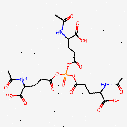 CC(=O)NC(CCC(=O)OP(=O)(OC(=O)CCC(NC(C)=O)C(=O)O)OC(=O)CCC(NC(C)=O)C(=O)O)C(=O)O